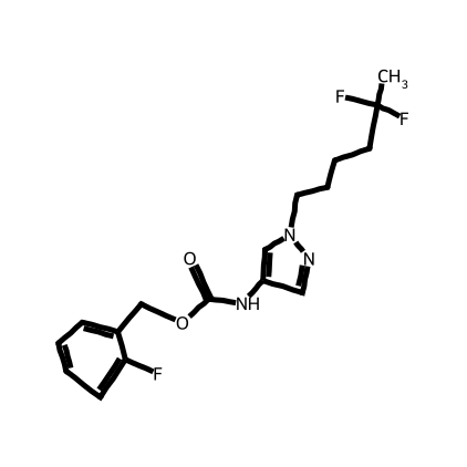 CC(F)(F)CCCCn1cc(NC(=O)OCc2ccccc2F)cn1